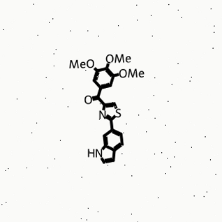 COc1cc(C(=O)c2csc(-c3ccc4cc[nH]c4c3)n2)cc(OC)c1OC